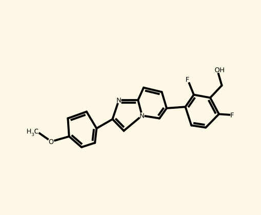 COc1ccc(-c2cn3cc(-c4ccc(F)c(CO)c4F)ccc3n2)cc1